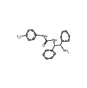 N[C@H](c1ccccc1)[C@H](NC(=O)Nc1ccc(C(F)(F)F)cc1)c1ccccc1